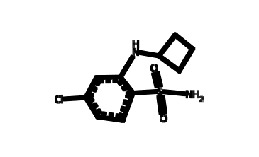 NS(=O)(=O)c1ccc(Cl)cc1NC1CCC1